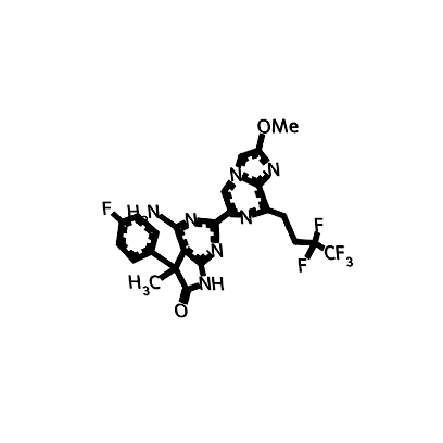 COc1cn2cc(-c3nc(N)c4c(n3)NC(=O)C4(C)c3ccc(F)cc3)nc(CCC(F)(F)C(F)(F)F)c2n1